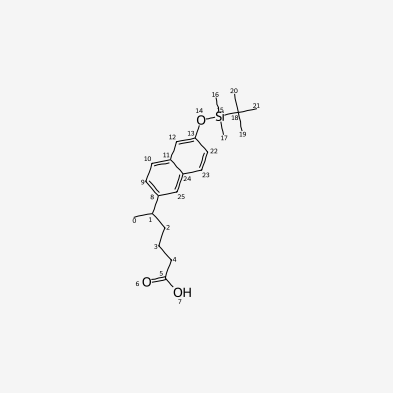 CC(CCCC(=O)O)c1ccc2cc(O[Si](C)(C)C(C)(C)C)ccc2c1